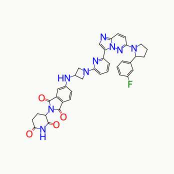 O=C1CCC(N2C(=O)c3ccc(NC4CN(c5cccc(-c6cnc7ccc(N8CCCC8c8cccc(F)c8)nn67)n5)C4)cc3C2=O)C(=O)N1